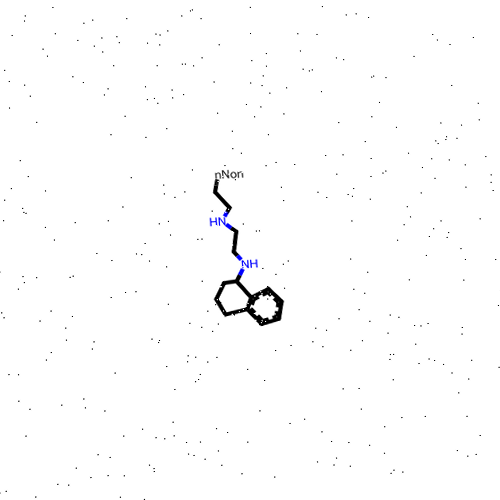 CCCCCCCCCCCNCCNC1CCCc2ccccc21